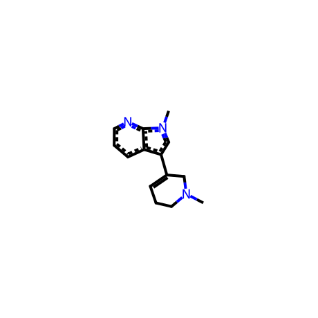 CN1CCC=C(c2cn(C)c3ncccc23)C1